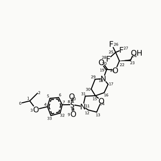 CC(C)Oc1ccc(S(=O)(=O)N2CCOC3(CCN(C(=O)O[C@H](CO)C(F)(F)F)CC3)C2)cc1